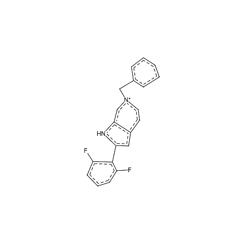 Fc1cccc(F)c1-c1cc2cc[n+](Cc3ccccc3)cc2[nH]1